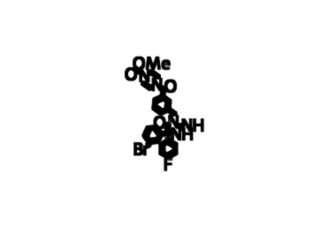 COC(=O)N1CCN(C(=O)c2cccc(CN3C(=N)N[C@@](c4ccc(F)cc4)(c4cccc(Br)c4)C3=O)c2)CC1